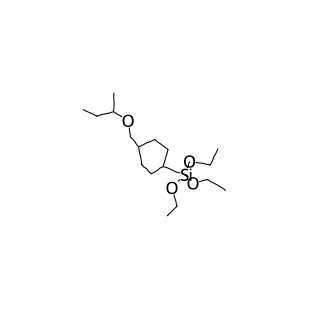 CCO[Si](OCC)(OCC)C1CCC(COC(C)CC)CC1